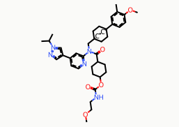 COCCNC(=O)OC1CCC(C(=O)N(CC23CCC(c4ccc(OC)c(C)c4)(CC2)CC3)c2cc(-c3cnn(C(C)C)c3)ccn2)CC1